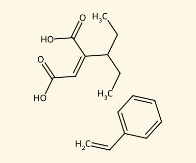 C=Cc1ccccc1.CCC(CC)C(=CC(=O)O)C(=O)O